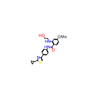 COc1ccc(C(=O)Nc2ccc(-c3csc(C4CC4)n3)cc2)c(NCCO)c1